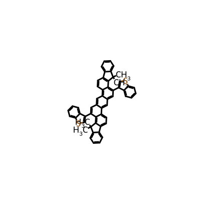 CC1(C)c2ccccc2-c2ccc3c(c(-c4csc5ccccc45)cc4cc5c(cc(-c6csc7ccccc67)c6c7c(ccc65)-c5ccccc5C7(C)C)cc43)c21